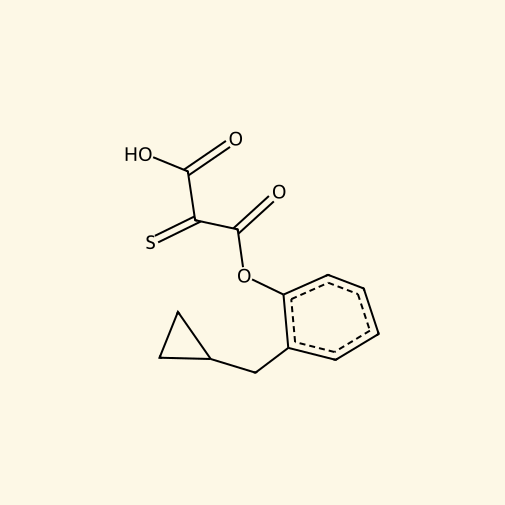 O=C(O)C(=S)C(=O)Oc1ccccc1CC1CC1